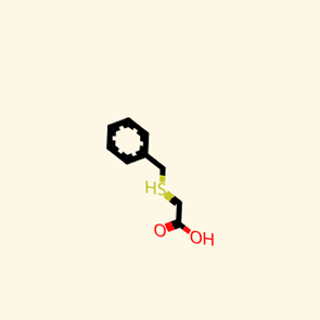 O=C(O)C=[SH]Cc1ccccc1